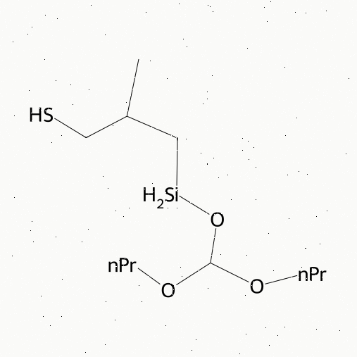 CCCOC(OCCC)O[SiH2]CC(C)CS